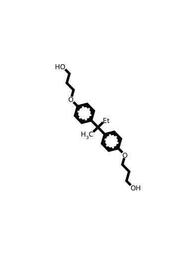 CCC(C)(c1ccc(OCCCO)cc1)c1ccc(OCCCO)cc1